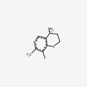 N[C@H]1CCSc2c1cnc(C(F)(F)F)c2F